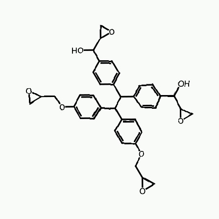 OC(c1ccc(C(c2ccc(C(O)C3CO3)cc2)C(c2ccc(OCC3CO3)cc2)c2ccc(OCC3CO3)cc2)cc1)C1CO1